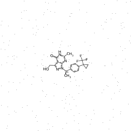 Cc1nc2c(c(CO)nn2[C@H](C)c2ccc(C3(C(F)(F)F)CC3)cc2)c(=O)[nH]1